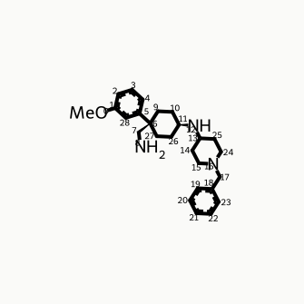 COc1cccc([C@]2(CN)CC[C@@H](NC3CCN(Cc4ccccc4)CC3)CC2)c1